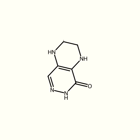 O=c1[nH]ncc2c1NC[CH]N2